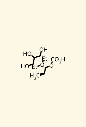 C=CCOC(=O)O.CCOCC.OCC(O)CO